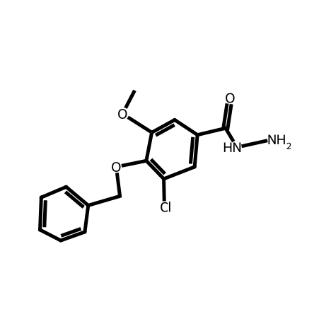 COc1cc(C(=O)NN)cc(Cl)c1OCc1ccccc1